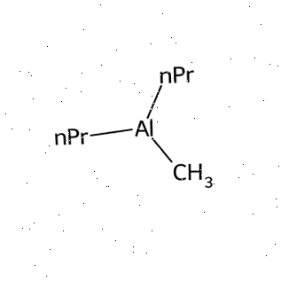 CC[CH2][Al]([CH3])[CH2]CC